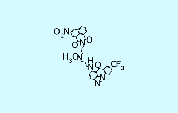 CN(CCCNc1ccc2ncn3c4ccc(C(F)(F)F)cc4c(=O)c1c23)CCCN1C(=O)c2cccc3cc([N+](=O)[O-])cc(c23)C1=O